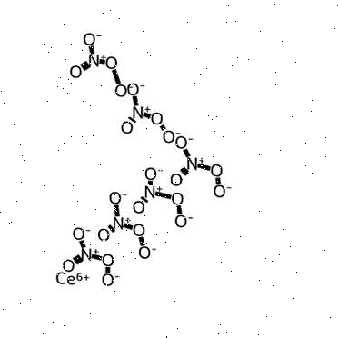 O=[N+]([O-])O[O-].O=[N+]([O-])O[O-].O=[N+]([O-])O[O-].O=[N+]([O-])O[O-].O=[N+]([O-])O[O-].O=[N+]([O-])O[O-].[Ce+6]